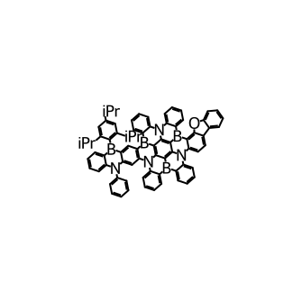 CC(C)c1cc(C(C)C)c(B2c3ccccc3N(c3ccccc3)c3cc4c(cc32)B2c3ccccc3N3c5ccccc5B5c6c3c2c2c3c6N(c6ccccc6B3c3ccccc3N42)c2ccc3c(oc4ccccc43)c25)c(C(C)C)c1